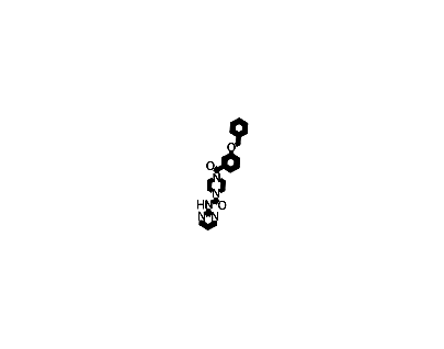 O=C(Nc1ncccn1)N1CCN(C(=O)c2cccc(OCc3ccccc3)c2)CC1